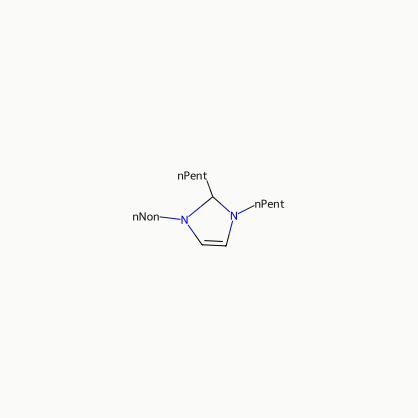 CCCCCCCCCN1C=CN(CCCCC)C1CCCCC